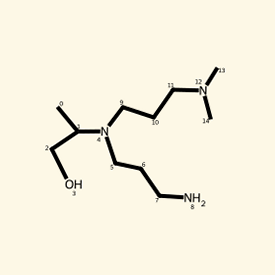 CC(CO)N(CCCN)CCCN(C)C